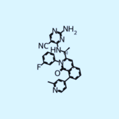 Cc1cc(-c2cccc3cc([C@H](C)Nc4nc(N)ncc4C#N)n(-c4cccc(F)c4)c(=O)c23)ccn1